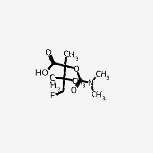 CN(C)C(=O)OC(C)(C(=O)O)C(C)(C)CF